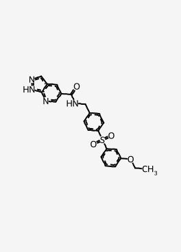 CCOc1cccc(S(=O)(=O)c2ccc(CNC(=O)c3cnc4[nH]ncc4c3)cc2)c1